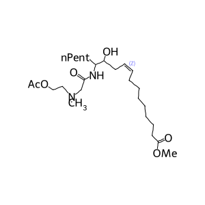 CCCCCC(NC(=O)CN(C)CCOC(C)=O)C(O)C/C=C\CCCCCCCC(=O)OC